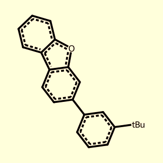 CC(C)(C)c1cccc(-c2ccc3c(c2)oc2ccccc23)c1